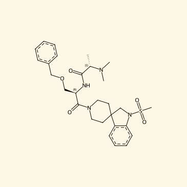 C[C@@H](C(=O)N[C@H](COCc1ccccc1)C(=O)N1CCC2(CC1)CN(S(C)(=O)=O)c1ccccc12)N(C)C